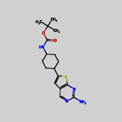 CC(C)(C)OC(=O)NC1CCC(c2cc3cnc(N)nc3s2)CC1